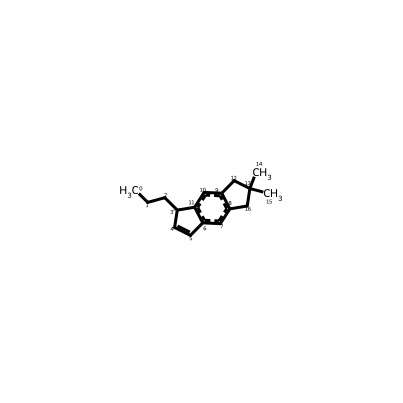 CCC[C]1C=Cc2cc3c(cc21)CC(C)(C)C3